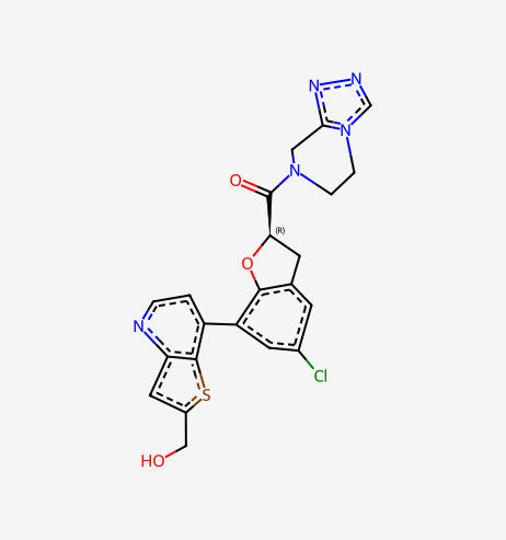 O=C([C@H]1Cc2cc(Cl)cc(-c3ccnc4cc(CO)sc34)c2O1)N1CCn2cnnc2C1